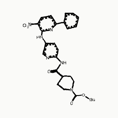 CC(C)(C)OC(=O)N1CCC(C(=O)Nc2ccc(Nc3nc(-c4ccccc4)ccc3[N+](=O)[O-])cn2)CC1